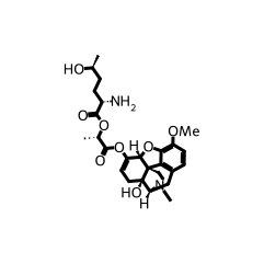 COc1ccc2c3c1O[C@H]1C(OC(=O)[C@H](C)OC(=O)[C@@H](N)CC[C@H](C)O)=CC[C@@]4(O)[C@@H](C2)N(C)CC[C@]314